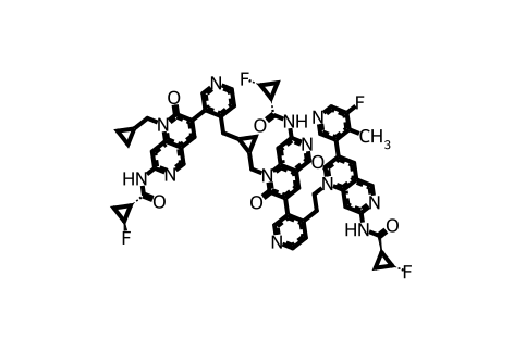 Cc1c(F)cncc1-c1cc2cnc(NC(=O)[C@@H]3C[C@H]3F)cc2n(CCc2ccncc2-c2cc3cnc(NC(=O)[C@H]4C[C@H]4F)cc3n(CC3CC3Cc3ccncc3-c3cc4cnc(NC(=O)[C@H]5C[C@@H]5F)cc4n(CC4CC4)c3=O)c2=O)c1=O